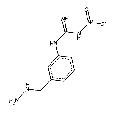 N=C(Nc1cccc(CNN)c1)N[N+](=O)[O-]